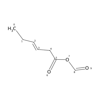 CC/C=C/CC(=O)OC=O